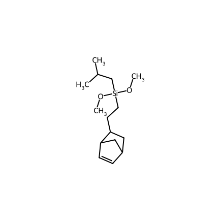 CO[Si](CCC1CC2C=CC1C2)(CC(C)C)OC